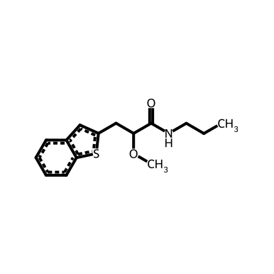 CCCNC(=O)C(Cc1cc2ccccc2s1)OC